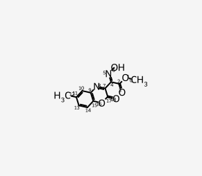 COC(=O)C(=NO)c1nc2cc(C)ccc2oc1=O